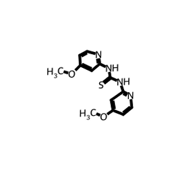 COc1ccnc(NC(=S)Nc2cc(OC)ccn2)c1